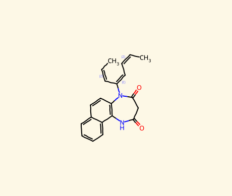 C\C=C/C=C(\C=C/C)N1C(=O)CC(=O)Nc2c1ccc1ccccc21